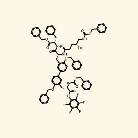 O=C(CC[C@@H](O)CNC(=O)OCc1ccccc1)N[C@@H](Cc1cc(-c2ccc(OCc3ccccc3)c(C[C@H](NC(=O)OCc3ccccc3)C(=O)Oc3c(F)c(F)c(F)c(F)c3F)c2)ccc1OCc1ccccc1)C(=O)N[C@@H](Cc1ccccc1)C(=O)OCc1ccccc1